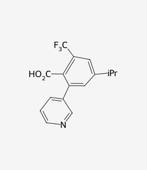 CC(C)c1cc(-c2cccnc2)c(C(=O)O)c(C(F)(F)F)c1